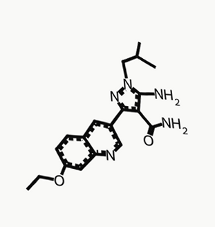 CCOc1ccc2cc(-c3nn(CC(C)C)c(N)c3C(N)=O)cnc2c1